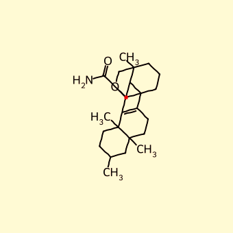 CC1CCC2(C)C3=C(CCC2(C)C1)C12CCCC(C)(COC1)C2C(C(N)=O)C3